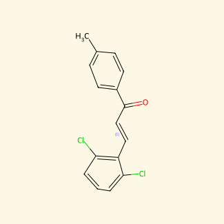 Cc1ccc(C(=O)/C=C/c2c(Cl)cccc2Cl)cc1